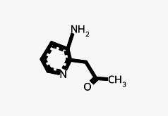 CC(=O)Cc1ncccc1N